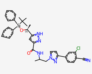 CC(Cn1ccc(-c2ccc(C#N)c(Cl)c2)n1)NC(=O)c1cc([C@H](C)O[Si](c2ccccc2)(c2ccccc2)C(C)(C)C)[nH]n1